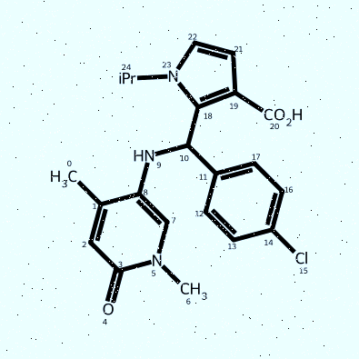 Cc1cc(=O)n(C)cc1NC(c1ccc(Cl)cc1)c1c(C(=O)O)ccn1C(C)C